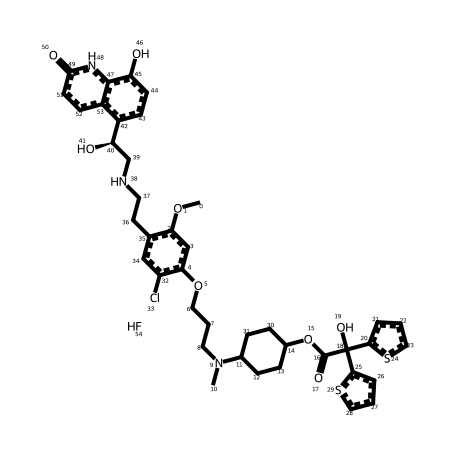 COc1cc(OCCCN(C)C2CCC(OC(=O)C(O)(c3cccs3)c3cccs3)CC2)c(Cl)cc1CCNC[C@@H](O)c1ccc(O)c2[nH]c(=O)ccc12.F